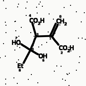 C=C(C(=O)O)C(C(=O)O)C(O)(O)CC